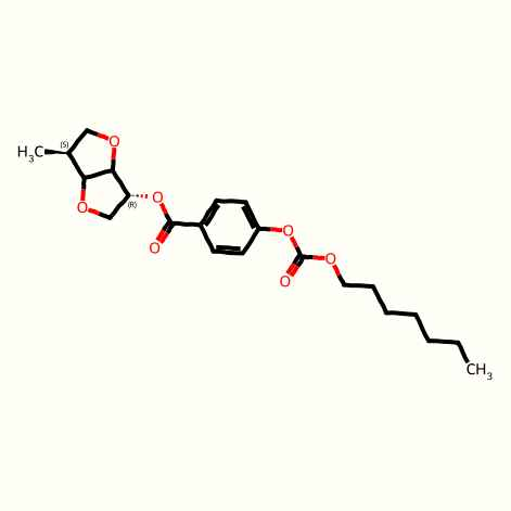 CCCCCCCOC(=O)Oc1ccc(C(=O)O[C@@H]2COC3C2OC[C@@H]3C)cc1